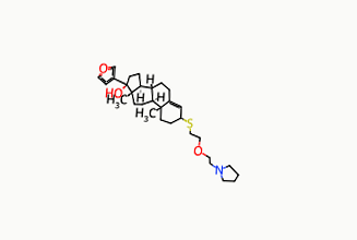 C[C@]12CC[C@H](SCCOCCN3CCCC3)C=C1CC[C@@H]1[C@@H]2CC[C@@]2(C)[C@H]1CC[C@@]2(O)c1ccoc1